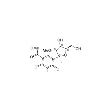 COC(=O)c1cn([C@]2(C)O[C@H](CO)[C@@H](O)[C@H]2OC)c(=O)[nH]c1=O